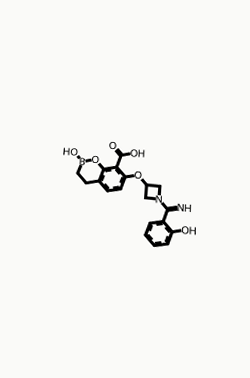 N=C(c1ccccc1O)N1CC(Oc2ccc3c(c2C(=O)O)OB(O)CC3)C1